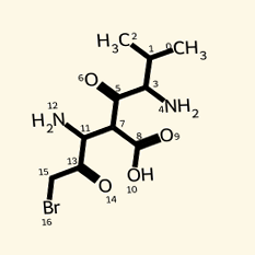 CC(C)C(N)C(=O)C(C(=O)O)C(N)C(=O)CBr